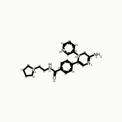 NC1=NC=C(c2ccc(C(=O)NCCN3CCCC3)cc2)N(c2cccnc2)C1